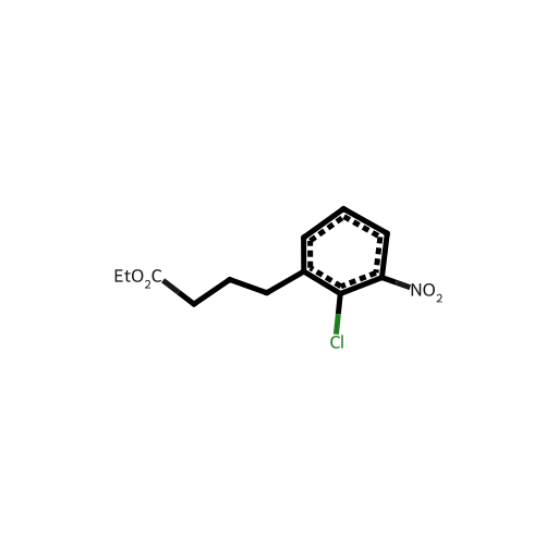 CCOC(=O)CCCc1cccc([N+](=O)[O-])c1Cl